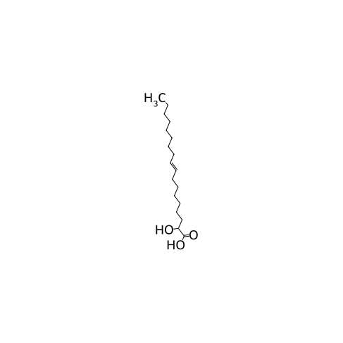 CCCCCCCCC=CCCCCCCC(O)C(=O)O